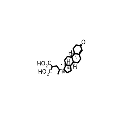 CC(CC(C(=O)O)C(=O)O)[C@H]1CC[C@H]2[C@@H]3CCC4=CC(=O)CC[C@]4(C)[C@H]3CC[C@]12C